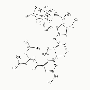 CNc1cc(C(=O)N[C@@H](CC(C)C)CN(C)C)cc(-c2cccc(CN3O[C@@H](CO)[C@@H]([C@H](C)O)[C@H]3C(=O)N[C@H]3C[C@H]4C[C@@H]([C@@H]3C)C4(C)C)c2OC)c1